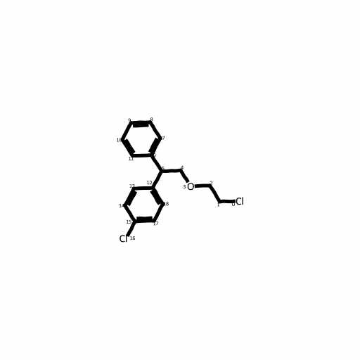 ClCCOCC(c1ccccc1)c1ccc(Cl)cc1